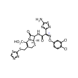 Nc1nc(/C(=N/Oc2ccc(Cl)c(Cl)c2)C(=O)NC2C(=O)N3C(C(=O)O)=C(CSc4nncs4)CS[C@H]23)ns1